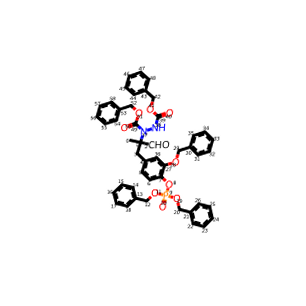 CC(C=O)(Cc1ccc(OP(=O)(OCc2ccccc2)OCc2ccccc2)c(OCc2ccccc2)c1)N(NC(=O)OCc1ccccc1)C(=O)OCc1ccccc1